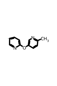 Cc1ccc(Oc2cc[c]cn2)cn1